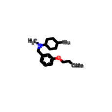 COCCOc1cccc(CN(C)C2CCC(C(C)(C)C)CC2)c1